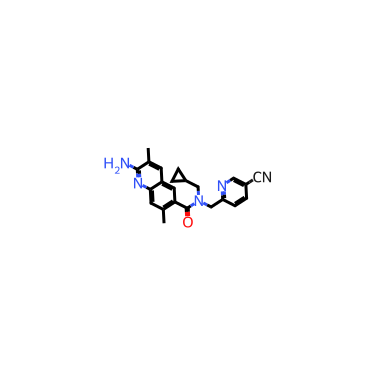 Cc1cc2nc(N)c(C)cc2cc1C(=O)N(Cc1ccc(C#N)cn1)CC1CC1